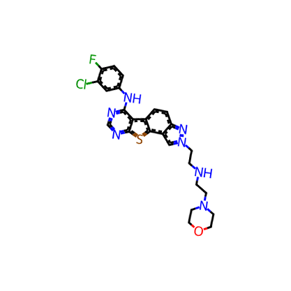 Fc1ccc(Nc2ncnc3sc4c5cn(CCNCCN6CCOCC6)nc5ccc4c23)cc1Cl